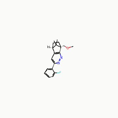 COC[C@]12CC[C@H](c3cc(-c4ccccc4F)nnc31)C2(C)C